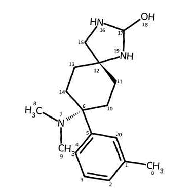 Cc1cccc([C@]2(N(C)C)CC[C@@]3(CC2)CNC(O)N3)c1